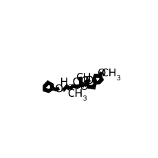 COc1ccc2c(c1)OC1(C=C2)OC(CC/C(C)=C/COCc2ccccc2)C(C)(C)O1